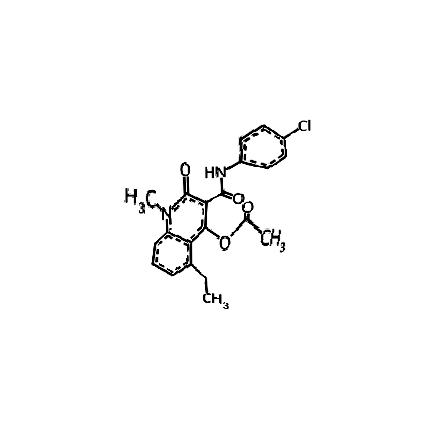 CCc1cccc2c1c(OC(C)=O)c(C(=O)Nc1ccc(Cl)cc1)c(=O)n2C